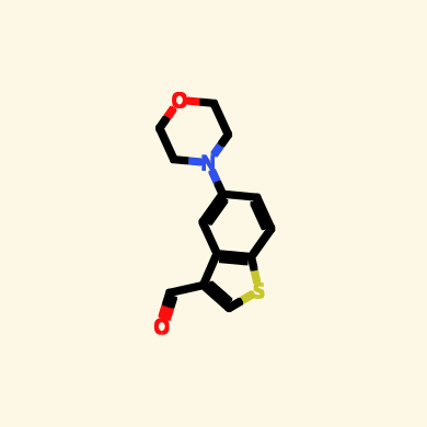 O=Cc1csc2ccc(N3CCOCC3)cc12